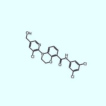 O=C(Nc1cc(Cl)cc(Cl)c1)c1cccc2c1OCCN2c1ncc(CO)cc1Cl